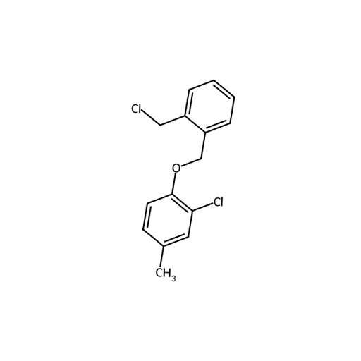 Cc1ccc(OCc2ccccc2CCl)c(Cl)c1